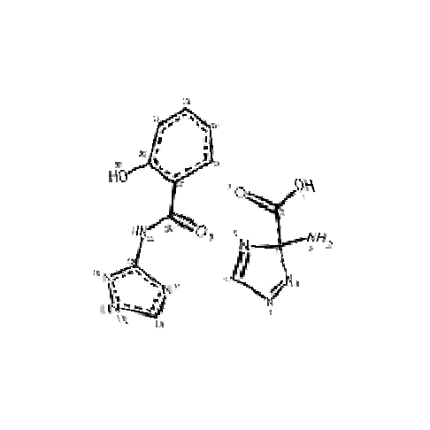 NC1(C(=O)O)N=CN=N1.O=C(Nc1nc[nH]n1)c1ccccc1O